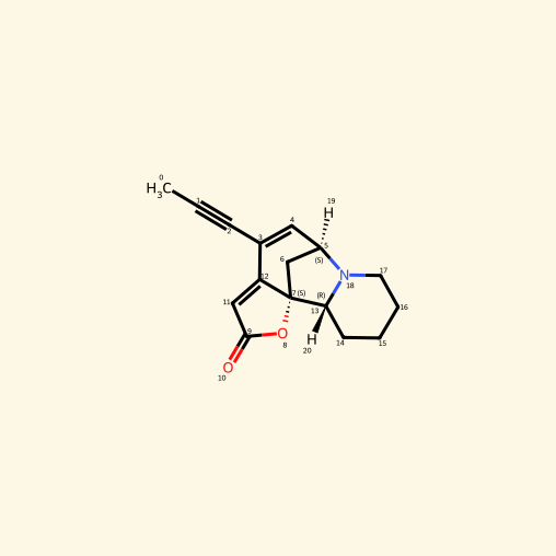 CC#CC1=C[C@@H]2C[C@@]3(OC(=O)C=C13)[C@H]1CCCCN21